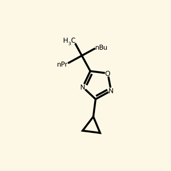 CCCCC(C)(CCC)c1nc(C2CC2)no1